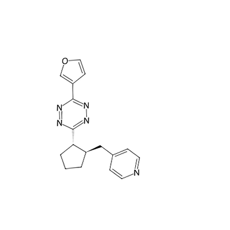 c1cc(C[C@H]2CCC[C@@H]2c2nnc(-c3ccoc3)nn2)ccn1